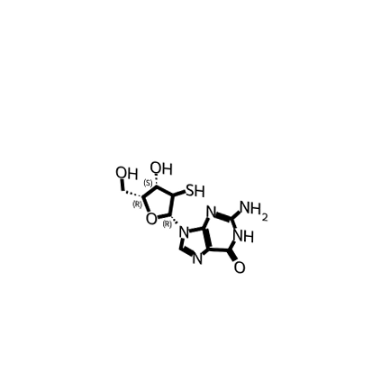 Nc1nc2c(ncn2[C@@H]2O[C@H](CO)[C@H](O)C2S)c(=O)[nH]1